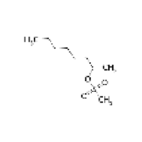 CCCCCCC(C)OS(C)(=O)=O